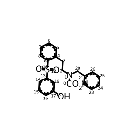 O=C(O)N(CCc1ccccc1S(=O)(=O)c1cccc(O)c1)Cc1ccccc1